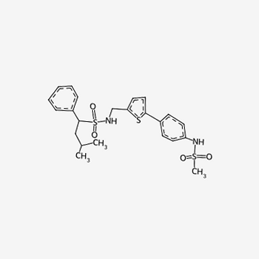 CC(C)CC(c1ccccc1)S(=O)(=O)NCc1ccc(-c2ccc(NS(C)(=O)=O)cc2)s1